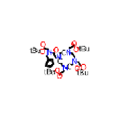 CC(C)(C)OC(=O)CN1CCN(CC(=O)OC(C)(C)C)CCN(CC(=O)N(CC(=O)OC(C)(C)C)Cc2ccccc2)CCN(CC(=O)OC(C)(C)C)CC1